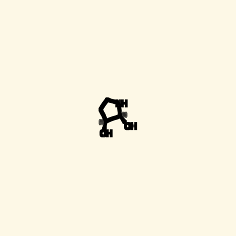 O[C@@H]1NCC[C@@H]1O